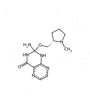 CN1CCC[C@H]1COC1(N)NC(=O)c2nccnc2N1